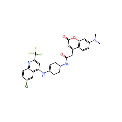 CN(C)c1ccc2c(CC(=O)N[C@@H]3CC=C(Nc4cc(C(F)(F)F)nc5ccc(Cl)cc45)CC3)cc(=O)oc2c1